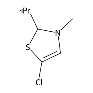 C[C](C)C1SC(Cl)=CN1C